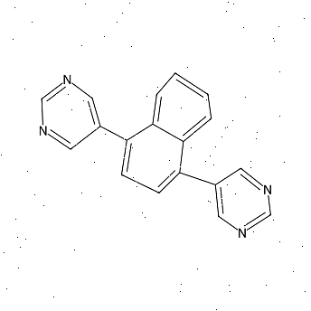 c1ccc2c(-c3cncnc3)ccc(-c3cncnc3)c2c1